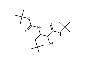 CC(C)(C)NC(=O)C(O)C(CC(F)(F)F)NC(=O)OC(C)(C)C